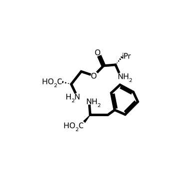 CC(C)[C@H](N)C(=O)OC[C@H](N)C(=O)O.N[C@@H](Cc1ccccc1)C(=O)O